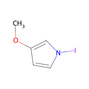 COc1ccn(I)c1